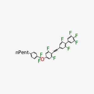 CCCCCc1ccc(C(F)(F)Oc2cc(F)c(C#Cc3cc(F)c(-c4cc(F)c(F)c(F)c4)c(F)c3)c(F)c2)cc1